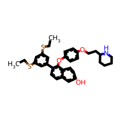 CCSc1cc(SCC)cc(-c2ccc3cc(O)ccc3c2Oc2ccc(OCCC3CCCCN3)cc2)c1